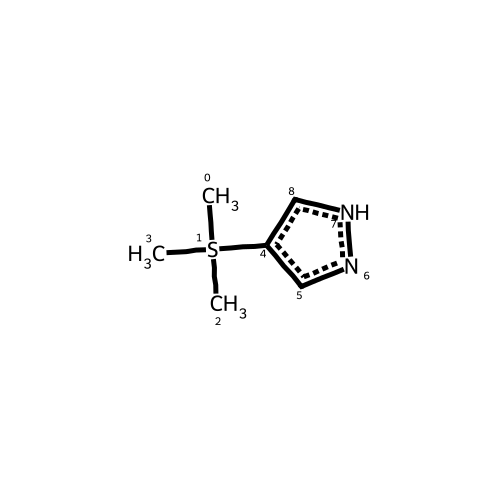 CS(C)(C)c1cn[nH]c1